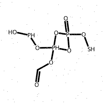 O=CO[PH]1(OPO)OP(=O)(OS)O1